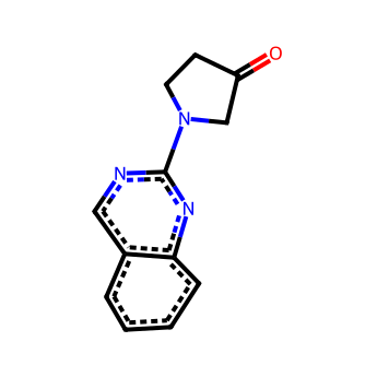 O=C1CCN(c2ncc3ccccc3n2)C1